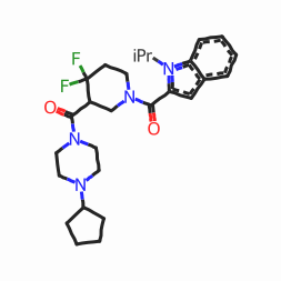 CC(C)n1c(C(=O)N2CCC(F)(F)C(C(=O)N3CCN(C4CCCC4)CC3)C2)cc2ccccc21